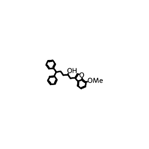 COc1cccc2c(CC(O)CCC(c3ccccc3)c3ccccc3)coc12